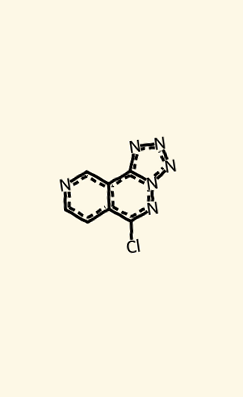 Clc1nn2nnnc2c2cnccc12